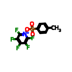 Cc1ccc(S(=O)(=O)O[n+]2c(F)c(F)c(F)c(F)c2F)cc1